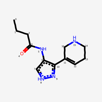 CCCC(=O)Nc1c[nH]nc1C1=CCCNC1